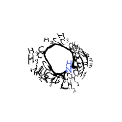 CC1C2(C)NC(C)(C)C(C)(C)C(C)(C)C(C)(C)CC(C)(C)/C=C\C(C)(C)CC(C)(C)C(C)(C)C12C